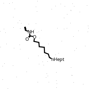 C=CNC(=O)OCCCCCCCCCCCCCC